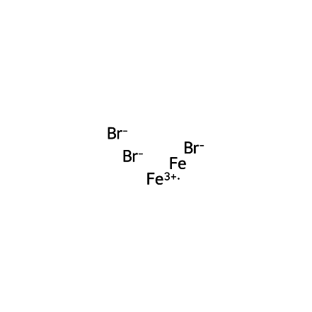 [Br-].[Br-].[Br-].[Fe+3].[Fe]